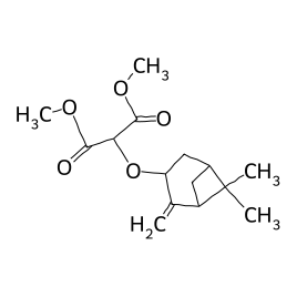 C=C1C(OC(C(=O)OC)C(=O)OC)CC2CC1C2(C)C